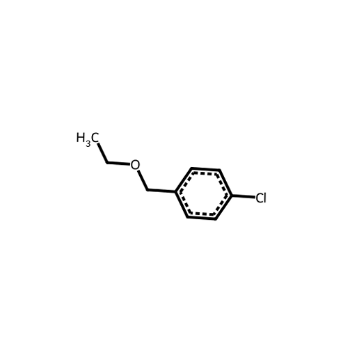 CCOCc1ccc(Cl)cc1